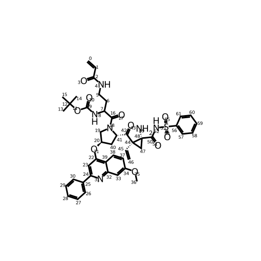 C=CC(=O)NCCC(NC(=O)OC(C)(C)C)C(=O)N1C[C@H](Oc2cc(-c3ccccc3)nc3cc(OC)ccc23)C[C@H]1C(=O)[C@]1(C=C)C[C@]1(N)C(=O)NS(=O)(=O)c1ccccc1